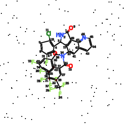 O=C1NC(c2cc(F)ccc2Cl)c2c(N(C(=O)c3cc(F)cc(C(F)(F)F)c3)C(=O)c3cc(F)cc(C(F)(F)F)c3)cc3cccnc3c21